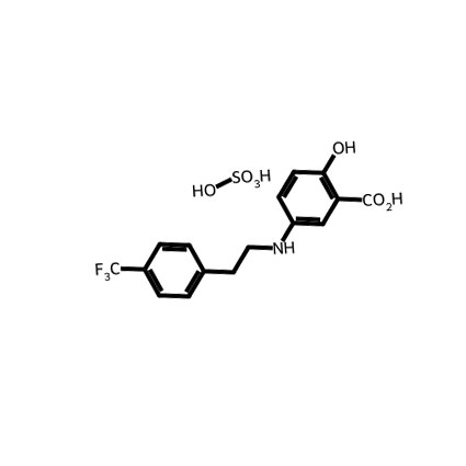 O=C(O)c1cc(NCCc2ccc(C(F)(F)F)cc2)ccc1O.O=S(=O)(O)O